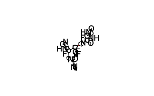 COc1cc(N2CCC(c3ccc(-c4cc(C5=CCCN(C(=O)CCn6cccn6)C5)c(F)c5[nH]c(C(=O)N(C)C)cc45)c(OC(F)(F)F)c3)CC2)c(F)cc1NC1CCC(=O)NC1=O